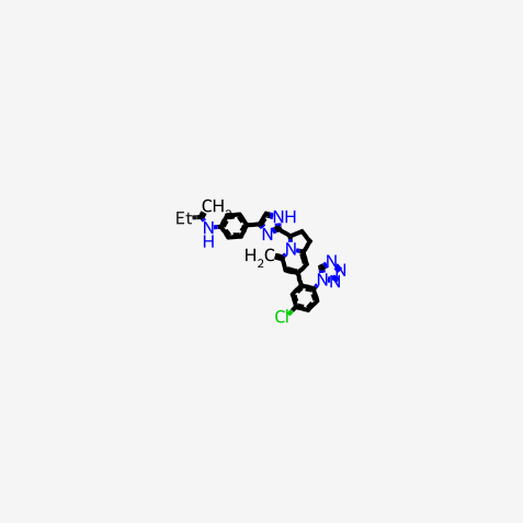 C=C(CC)Nc1ccc(-c2c[nH]c(C3CCC4=CC(c5cc(Cl)ccc5-n5cnnn5)=CC(=C)N43)n2)cc1